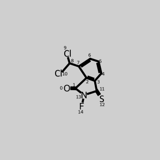 O=C1c2c(cccc2C(Cl)Cl)C(=S)N1F